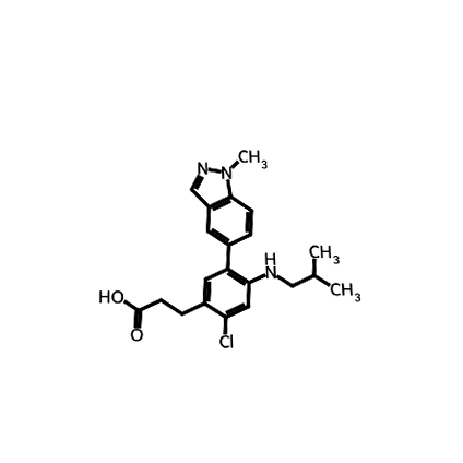 CC(C)CNc1cc(Cl)c(CCC(=O)O)cc1-c1ccc2c(cnn2C)c1